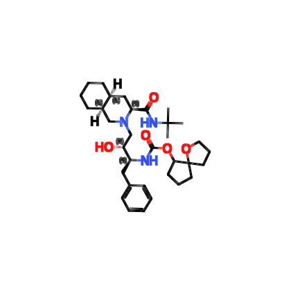 CC(C)(C)NC(=O)[C@@H]1C[C@@H]2CCCC[C@@H]2CN1C[C@@H](O)[C@H](Cc1ccccc1)NC(=O)OC1CCCC12CCCO2